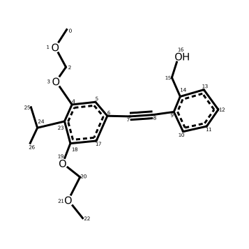 COCOc1cc(C#Cc2ccccc2CO)cc(OCOC)c1C(C)C